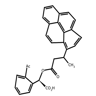 CC(=O)c1ccccc1[C@@H](OC(=O)CC(C)c1ccc2ccc3cccc4ccc1c2c34)C(=O)O